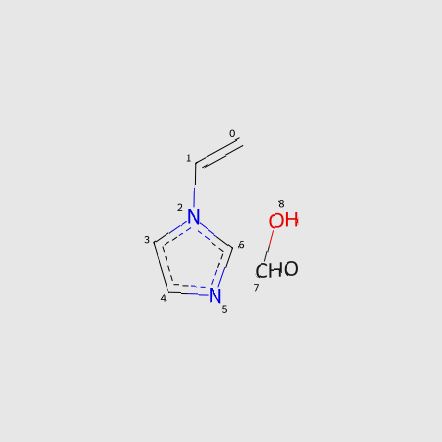 C=Cn1ccnc1.O=CO